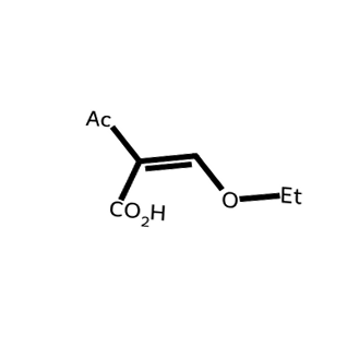 CCOC=C(C(C)=O)C(=O)O